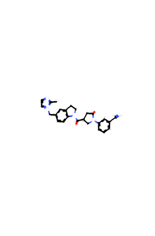 Cc1nccn1Cc1ccc2c(c1)CCN2C(=O)C1CC(=O)N(c2cccc(C#N)c2)C1